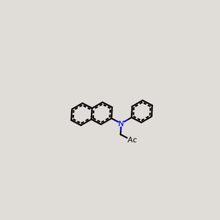 CC(=O)CN(c1ccccc1)c1ccc2ccccc2c1